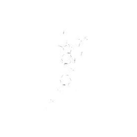 C=CCn1c(=O)c2cnc(Nc3ccc(N4CC(C)N(C)C(C)C4)c(C)c3)nc2n1C(/C=C\C=O)=N/N(C)C(C)C